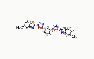 Cc1ccc2sc(-c3nnc(-c4cccc(-c5nnc(-c6nc7cc(C(F)(F)F)ccc7s6)o5)c4)o3)nc2c1